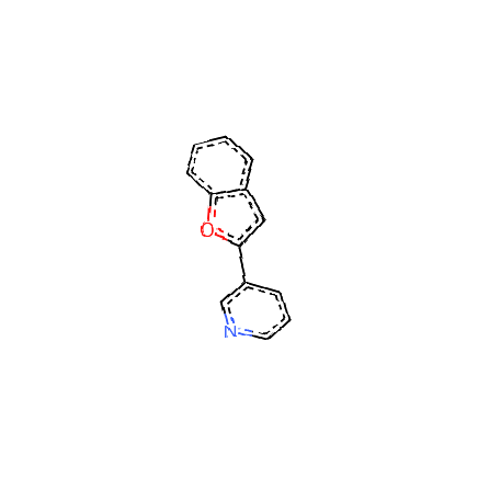 c1cncc(-c2cc3ccccc3o2)c1